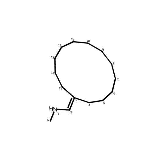 CNC=C1CCCCCCCCCCCC1